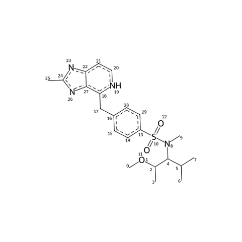 COC(C)C(C(C)C)N(C)S(=O)(=O)c1ccc(Cc2[nH]ccc3nc(C)nc2-3)cc1